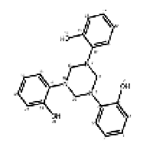 Oc1ccccc1N1CN(c2ccccc2O)CN(c2ccccc2O)C1